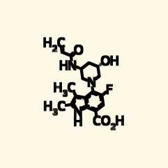 C=CC(=O)N[C@H]1C[C@H](O)CN(c2c(F)cc(C(=O)O)c3[nH]c(C)c(C)c23)C1